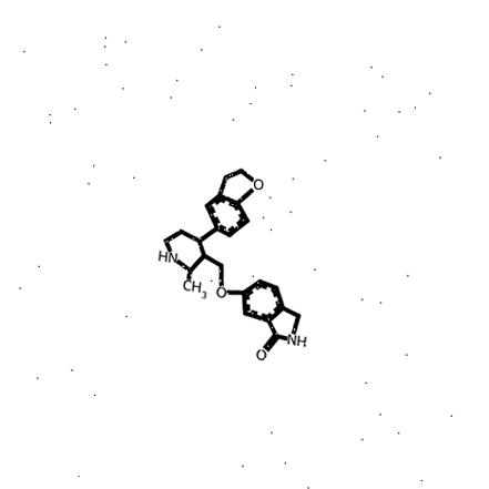 CC1NCCC(c2ccc3c(c2)CCO3)C1COc1ccc2c(c1)C(=O)NC2